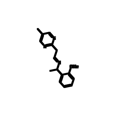 COc1ccccc1C(C)N=CCc1ncc(C)cn1